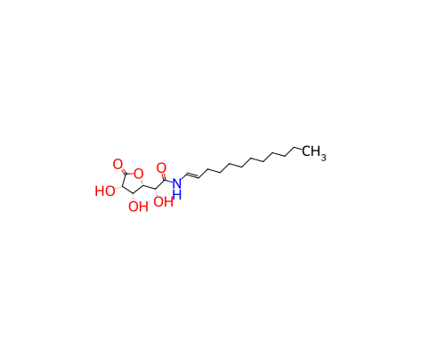 CCCCCCCCCC/C=C/NC(=O)[C@H](O)[C@H]1OC(=O)[C@@H](O)[C@H]1O